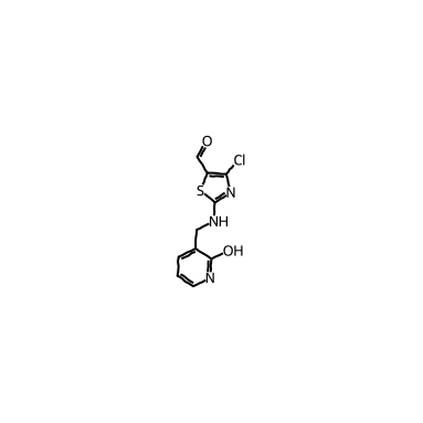 O=Cc1sc(NCc2cccnc2O)nc1Cl